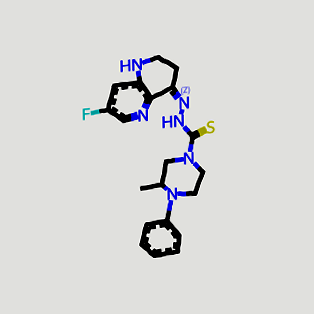 CC1CN(C(=S)N/N=C2/CCNc3cc(F)cnc32)CCN1c1ccccc1